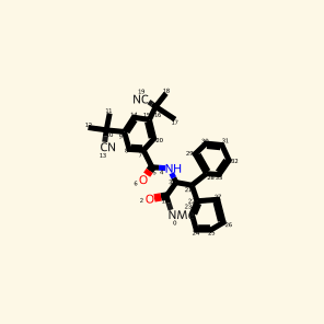 CNC(=O)C(NC(=O)c1cc(C(C)(C)C#N)cc(C(C)(C)C#N)c1)C(c1ccccc1)c1ccccc1